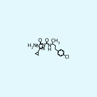 CC(CCc1ccc(Cl)cc1)NC(=O)n1nc(C2CC2)n(N)c1=O